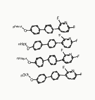 CCCCCCCCOc1ccc(-c2ccc(-c3ccc(F)nc3F)cc2)cc1.CCCCCCCOc1ccc(-c2ccc(-c3ccc(F)nc3F)cc2)cc1.CCCCCCOc1ccc(-c2ccc(-c3ccc(F)nc3F)cc2)cc1.CCCCCOc1ccc(-c2ccc(-c3ccc(F)nc3F)cc2)cc1